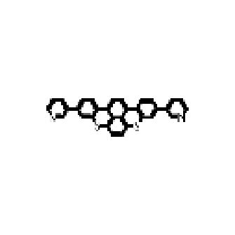 c1cncc(-c2ccc3c(c2)Sc2ccc4c5c(ccc-3c25)-c2ccc(-c3cccnc3)cc2S4)c1